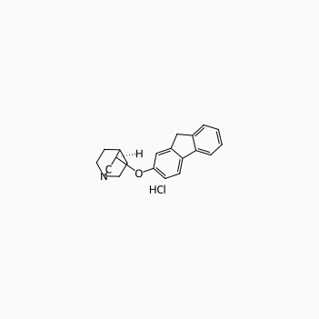 Cl.c1ccc2c(c1)Cc1cc(O[C@H]3CN4CCC3CC4)ccc1-2